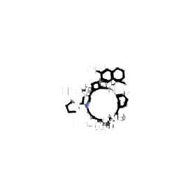 CO[C@@]1(CCN2CCCC2)/C=C/C[C@H](C)[C@@H](C)S(=O)(=O)NC(=O)c2ccc3c(c2)N(C[C@@H]2CC[C@H]21)C[C@@]1(CCCc2cc(Cl)ccc21)CO3